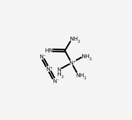 N=C(N)[N+](N)(N)N.[N-]=[N+]=[N-]